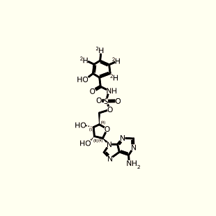 [2H]c1c([2H])c([2H])c(C(=O)NS(=O)(=O)OC[C@H]2O[C@@H](n3cnc4c(N)ncnc43)[C@H](O)[C@@H]2O)c(O)c1[2H]